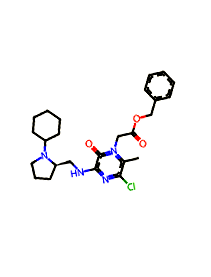 Cc1c(Cl)nc(NC[C@H]2CCCN2C2CCCCC2)c(=O)n1CC(=O)OCc1ccccc1